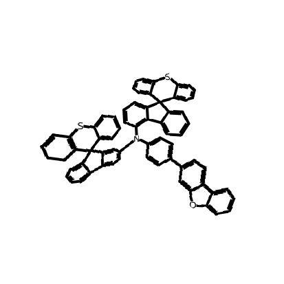 C1=CC2=C(CC1)C1(c3ccccc3S2)c2ccccc2-c2ccc(N(c3ccc(-c4ccc5c(c4)oc4ccccc45)cc3)c3cccc4c3-c3ccccc3C43c4ccccc4Sc4ccccc43)cc21